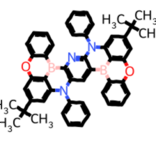 CC(C)(C)c1cc2c3c(c1)N(c1ccccc1)c1cc4c(nc1B3c1ccccc1O2)N(c1ccccc1)c1cc(C(C)(C)C)cc2c1B4c1ccccc1O2